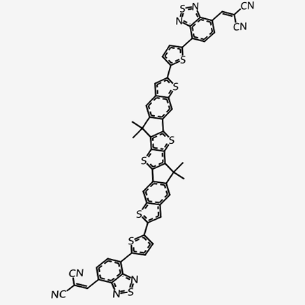 CC1(C)c2cc3cc(-c4ccc(-c5ccc(C=C(C#N)C#N)c6nsnc56)s4)sc3cc2-c2sc3c4c(sc3c21)-c1cc2sc(-c3ccc(-c5ccc(C=C(C#N)C#N)c6nsnc56)s3)cc2cc1C4(C)C